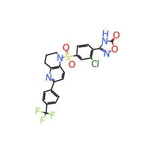 O=c1[nH]c(-c2ccc(S(=O)(=O)N3CCCc4nc(-c5ccc(C(F)(F)F)cc5)ccc43)cc2Cl)no1